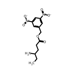 CCC(N)CCC(=O)OCc1cc([N+](=O)[O-])cc([N+](=O)[O-])c1